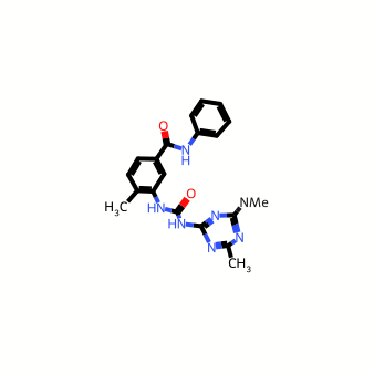 CNc1nc(C)nc(NC(=O)Nc2cc(C(=O)Nc3ccccc3)ccc2C)n1